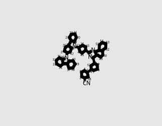 N#Cc1cccc(-c2cccc(-c3nc(-c4ccc(-n5c6ccccc6c6ccc(-n7c8ccccc8c8ccccc87)cc65)cc4)nc4c3ccc3ccccc34)c2)c1